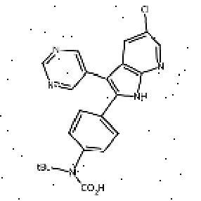 CC(C)(C)N(C(=O)O)c1ccc(-c2[nH]c3ncc(Cl)cc3c2-c2cncnc2)cc1